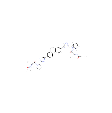 COC(=O)N[C@H](C(=O)N1CCC[C@H]1c1ncc(-c2ccc3c(c2)CCc2cc(-c4cnc([C@@H]5[C@H]6C=C[C@H](C6)N5C(=O)[C@@H](NC(=O)OC)C(C)C)[nH]4)ccc2-3)[nH]1)C(C)C